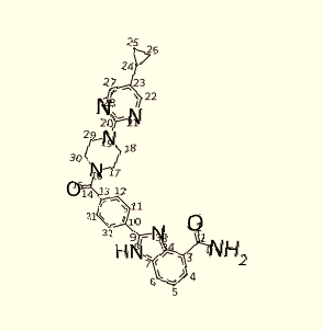 NC(=O)c1cccc2[nH]c(-c3ccc(C(=O)N4CCN(c5ncc(C6CC6)cn5)CC4)cc3)nc12